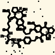 COCCOCCC(=O)N[C@H](C(=O)N[C@@H](C)C(=O)Nc1ccc(COC(=O)N2c3cc(OCCCOc4cc5c(cc4OC)C(=O)N4CCC[C@H]4C(O)N5)c(OC)cc3C(=O)N3CCC[C@H]3C2O)cc1)C(C)C